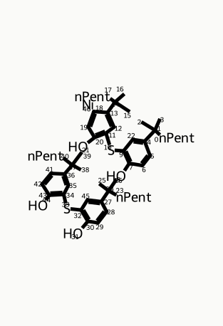 CCCCCC(C)(C)c1ccc(O)c(Sc2cc(C(C)(C)CCCCC)ccc2O)c1.CCCCCC(C)(C)c1ccc(O)c(Sc2cc(C(C)(C)CCCCC)ccc2O)c1.[Ni]